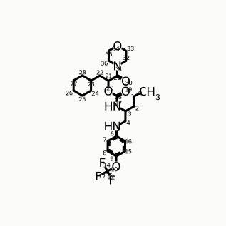 CCCC(CNc1ccc(OC(F)(F)F)cc1)NC(=O)OC(CC1CCCCC1)C(=O)N1CCOCC1